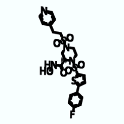 O=C(NO)[C@H]1CN(S(=O)(=O)CCc2ccncc2)CCN1S(=O)(=O)c1ccc(-c2ccc(F)cc2)s1